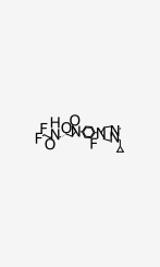 CN1CCN(c2ccc(N3C[C@H](CNC(=O)C(F)F)OC3=O)cc2F)CCN1CC1CC1